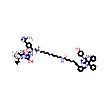 Cc1ncsc1-c1ccc([C@H](CC(=O)NCCCCCCCCCCNC(=O)CCCCC#Cc2cccc(Cn3c(-c4ccccc4)c(-c4ccccc4)c4c(=N)n(C5CCC(O)CC5)cnc43)c2)NC(=O)[C@@H]2C[C@@H](O)CN2C(=O)C(NC(=O)C2(F)CC2)C(C)(C)C)cc1